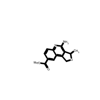 COC(=O)c1ccc2nc(N)c3c(c2c1)COC3C